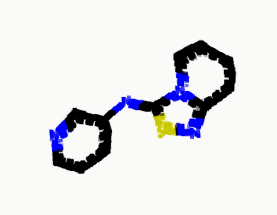 c1cncc(N=c2snc3ccccn23)c1